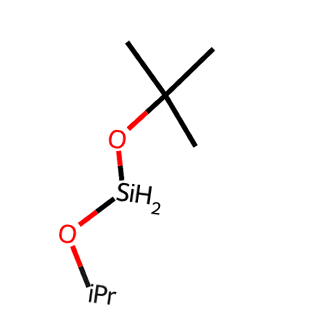 CC(C)O[SiH2]OC(C)(C)C